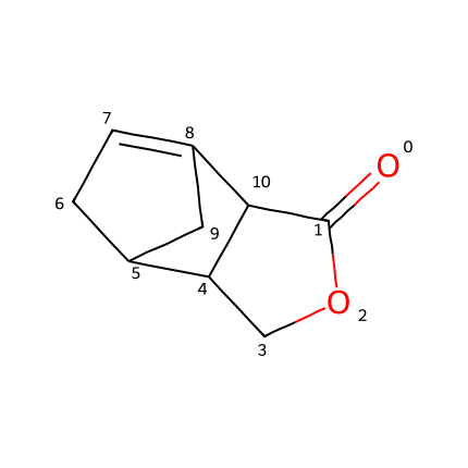 O=C1OCC2C3CC=C(C3)C12